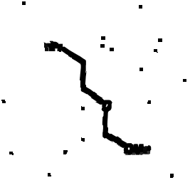 CCCCCOCOC